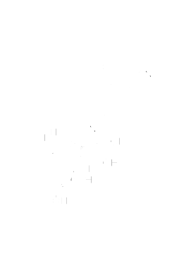 C[C@H]1[C@@H]2[C@H]3C[C@@H]([C@@H]2S(O)(O)N1c1ccc(C#N)c(C(F)(F)F)c1)[C@H](O)C3